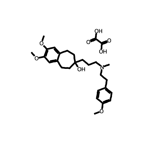 COc1ccc(CCN(C)CCCC2(O)CCc3cc(OC)c(OC)cc3CC2)cc1.O=C(O)C(=O)O